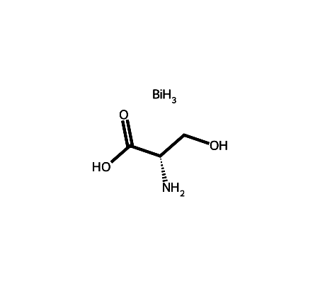 N[C@@H](CO)C(=O)O.[BiH3]